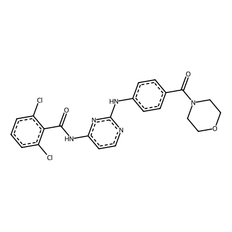 O=C(Nc1ccnc(Nc2ccc(C(=O)N3CCOCC3)cc2)n1)c1c(Cl)cccc1Cl